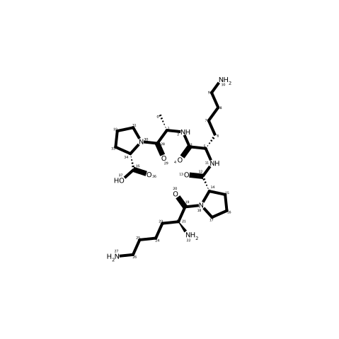 C[C@H](NC(=O)[C@H](CCCCN)NC(=O)[C@@H]1CCCN1C(=O)[C@@H](N)CCCCN)C(=O)N1CCC[C@H]1C(=O)O